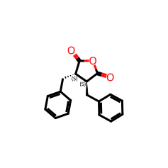 O=C1OC(=O)[C@@H](Cc2ccccc2)[C@@H]1Cc1ccccc1